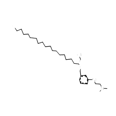 CN(C)CCNc1cccc(CO[C@H](CO)CCCCCCCCCCCCCCCCCC(F)(F)F)c1